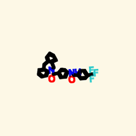 O=C(Nc1ccc(C(=O)N2Cc3ccccc3Cc3ccccc32)cc1)c1ccc(C(F)(F)F)cc1